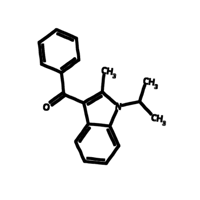 Cc1c(C(=O)c2ccccc2)c2ccccc2n1C(C)C